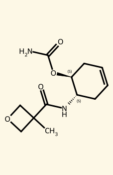 CC1(C(=O)N[C@H]2CC=CC[C@@H]2OC(N)=O)COC1